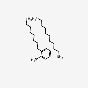 CCCCCCCCCCN.CCCCCCCCc1ccccc1N